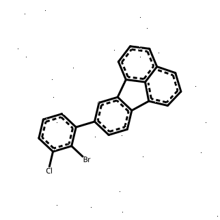 Clc1cccc(-c2ccc3c(c2)-c2cccc4cccc-3c24)c1Br